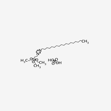 CCCCCCCCCCCCCCCCCCn1cc[n+](CC[Si](OCC)(OCC)OCC)c1.O=P([O-])(O)O